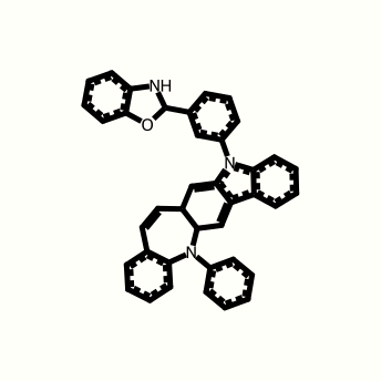 C1=CC2C=c3c(c4ccccc4n3-c3cccc(C4Nc5ccccc5O4)c3)=CC2N(c2ccccc2)c2ccccc21